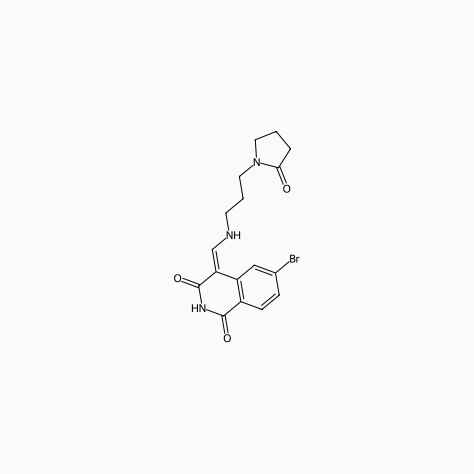 O=C1NC(=O)c2ccc(Br)cc2/C1=C\NCCCN1CCCC1=O